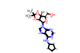 CC1(C)OC2C(n3cnc4c(NC5CCCC5)ncnc43)O[C@H](CO)[C@H]2O1